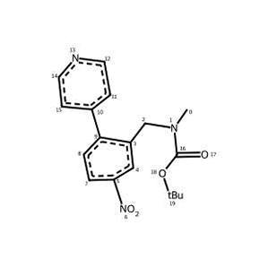 CN(Cc1cc([N+](=O)[O-])ccc1-c1ccncc1)C(=O)OC(C)(C)C